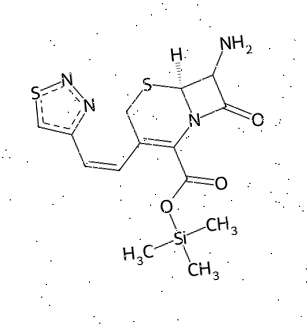 C[Si](C)(C)OC(=O)C1=C(/C=C\c2csnn2)CS[C@H]2C(N)C(=O)N12